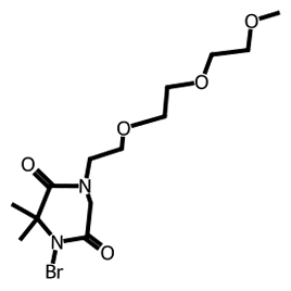 COCCOCCOCCN1CC(=O)N(Br)C(C)(C)C1=O